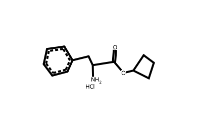 Cl.NC(Cc1ccccc1)C(=O)OC1CCC1